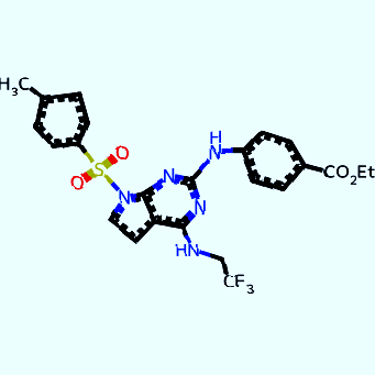 CCOC(=O)c1ccc(Nc2nc(NCC(F)(F)F)c3ccn(S(=O)(=O)c4ccc(C)cc4)c3n2)cc1